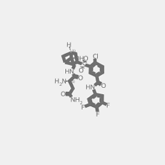 NC(=O)C[C@H](N)C(=O)NC[C@@]1(O)C2CC(S(=O)(=O)c3cc(C(=O)Nc4cc(F)c(F)c(F)c4)ccc3Cl)C[C@@H]1C2